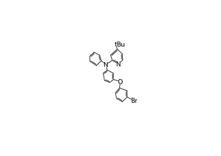 CC(C)(C)c1ccnc(N(c2ccccc2)c2cccc(Oc3cccc(Br)c3)c2)c1